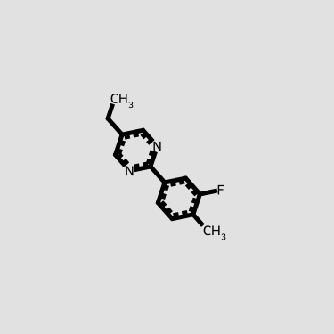 CCc1cnc(-c2ccc(C)c(F)c2)nc1